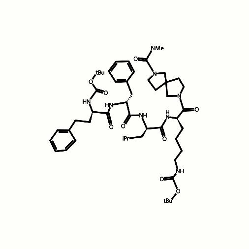 CNC(=O)N1CCC2(CCN(C(=O)[C@@H](CCCCNC(=O)OC(C)(C)C)NC(=O)[C@@H](CC(C)C)NC(=O)[C@@H](Cc3ccccc3)NC(=O)[C@@H](CCc3ccccc3)NC(=O)OC(C)(C)C)C2)C1